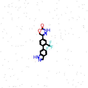 O=C1NN=C(c2ccc(-c3ccc4cn[nH]c4c3)c(C(F)(F)F)c2)CO1